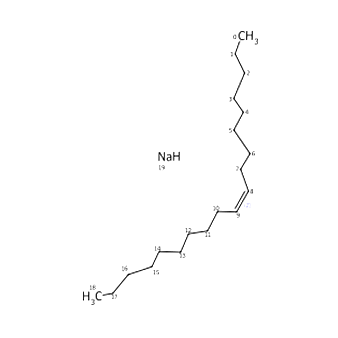 CCCCCCCC/C=C\CCCCCCCCC.[NaH]